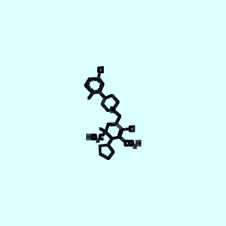 Cc1ccc(Cl)cc1C1CCN(CC2=CC(C)(C(=O)O)C(C3CCCC3)C(C(=O)O)=C2Cl)CC1